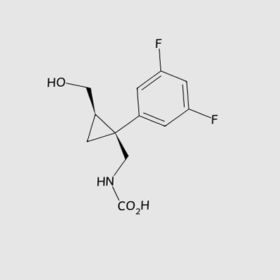 O=C(O)NC[C@@]1(c2cc(F)cc(F)c2)C[C@H]1CO